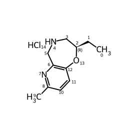 CC[C@@H]1CNCc2nc(C)ccc2O1.Cl